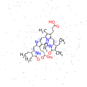 C=CC1=C(C)C(=O)N/C1=C\C1=NC(=C/c2[nH]c(/C=C3\NC(=O)C(C)=C3C=C)c(CCC(=O)O)c2C)/C(C)=C1CCC(=O)O